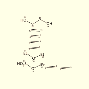 C=C.C=C.C=C.C=C.C=C.C=C.CC(C)OS(=O)(=O)O.CCOCC.OCCO